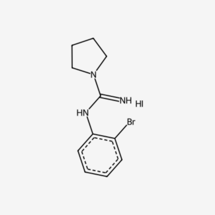 I.N=C(Nc1ccccc1Br)N1CCCC1